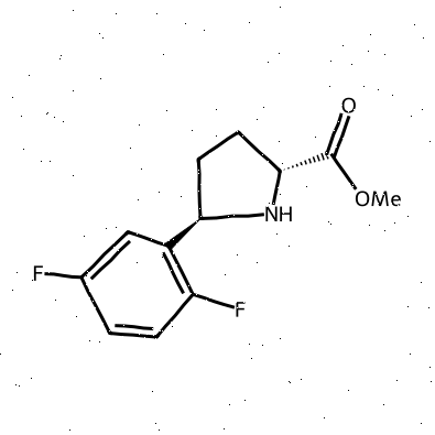 COC(=O)[C@H]1CC[C@H](c2cc(F)ccc2F)N1